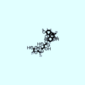 COc1ccc2c3c1O[C@@H]1C(OC(=O)[C@H](O)[C@@H](O)C(=O)O[C@@H](C)C(=O)O[C@@H](C)C(=O)O)=CC[C@]4(O)[C@H](C2)N(C)CC[C@@]314